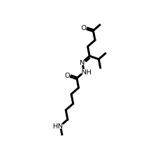 CNCCCCCC(=O)N/N=C(/CCC(C)=O)C(C)C